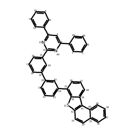 c1ccc(-c2cc(-c3ccccc3)nc(-c3cccc(-c4cccc(-c5cccc6c5sc5ccc7ccccc7c56)c4)c3)n2)cc1